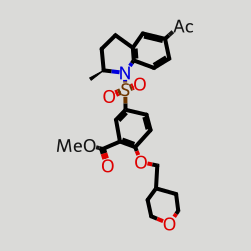 COC(=O)c1cc(S(=O)(=O)N2c3ccc(C(C)=O)cc3CC[C@@H]2C)ccc1OCC1CCOCC1